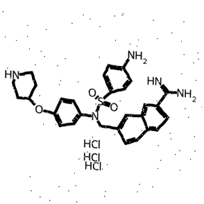 Cl.Cl.Cl.N=C(N)c1ccc2ccc(CN(c3ccc(OC4CCNCC4)cc3)S(=O)(=O)c3ccc(N)cc3)cc2c1